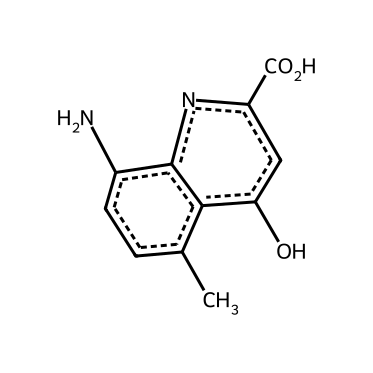 Cc1ccc(N)c2nc(C(=O)O)cc(O)c12